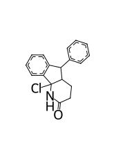 O=C1CCC2C(c3ccccc3)c3ccccc3C2(Cl)N1